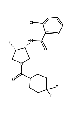 O=C(N[C@@H]1CN(C(=O)C2CCC(F)(F)CC2)C[C@@H]1F)c1ccccc1Cl